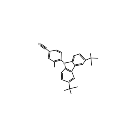 Cc1cc(C#N)ccc1-n1c2ccc(C(C)(C)C)cc2c2cc(C(C)(C)C)ccc21